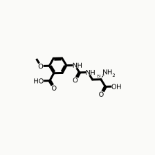 COc1ccc(NC(=O)NC[C@H](N)C(=O)O)cc1C(=O)O